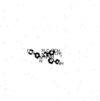 CC1(C)C[C@@H]2N(c3cccc([C@H]4CCNC4)n3)c3nc(Nc4ccc(N5CCOCC5)cc4)ncc3[C@]2(C)CO1